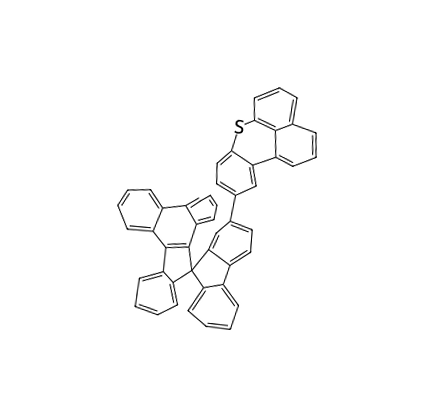 c1ccc2c(c1)-c1ccc(-c3ccc4c(c3)-c3cccc5cccc(c35)S4)cc1C21c2ccccc2-c2c1c1ccccc1c1ccccc21